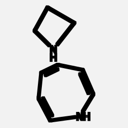 C1=CC=CNC=C1.C1CNC1